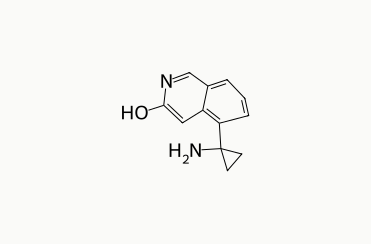 NC1(c2cccc3cnc(O)cc23)CC1